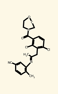 C/C(Cc1c(Cl)ccc(C(=O)N2CCOCC2)c1Cl)=N\c1cc(C#N)ccc1C